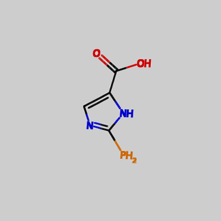 O=C(O)c1cnc(P)[nH]1